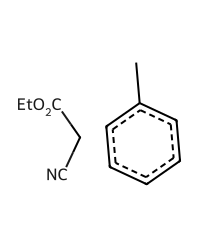 CCOC(=O)CC#N.Cc1ccccc1